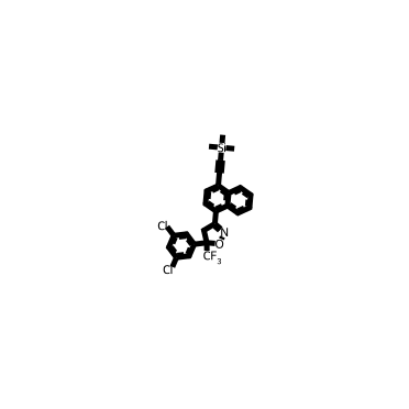 C[Si](C)(C)C#Cc1ccc(C2=NOC(c3cc(Cl)cc(Cl)c3)(C(F)(F)F)C2)c2ccccc12